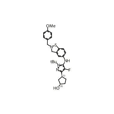 COc1ccc(CN2Cc3cc(Nc4c(F)c([C@H]5CC[C@@H](O)C5)nn4C(C)(C)C)ccc3S2)cc1